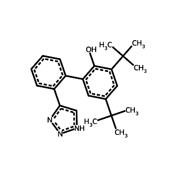 CC(C)(C)c1cc(-c2ccccc2-c2c[nH]nn2)c(O)c(C(C)(C)C)c1